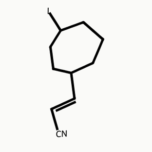 N#C/C=C/C1CCCC(I)CC1